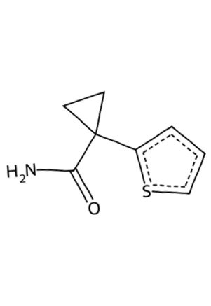 NC(=O)C1(c2cccs2)CC1